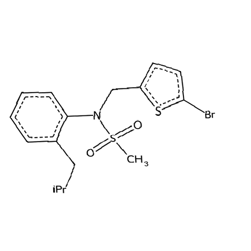 CC(C)Cc1ccccc1N(Cc1ccc(Br)s1)S(C)(=O)=O